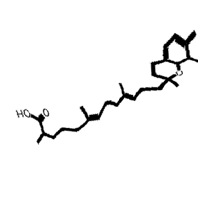 CC1=CC=C2CCC(C)(CC/C=C(\C)CC/C=C(\C)CCCC(C)C(=O)O)OC2C1C